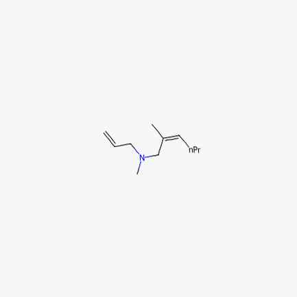 C=CCN(C)C/C(C)=C\CCC